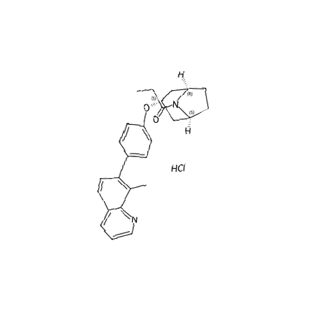 CCC(=O)N1[C@@H]2CC[C@H]1C[C@H](Oc1ccc(-c3ccc4cccnc4c3C)cc1)C2.Cl